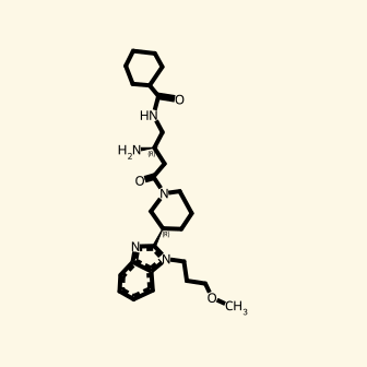 COCCCn1c([C@@H]2CCCN(C(=O)C[C@@H](N)CNC(=O)C3CCCCC3)C2)nc2ccccc21